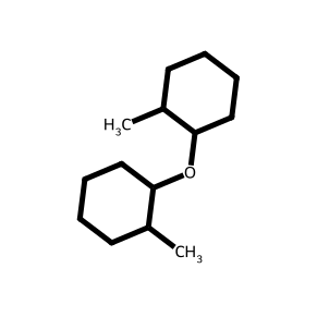 CC1CCCCC1OC1CCCCC1C